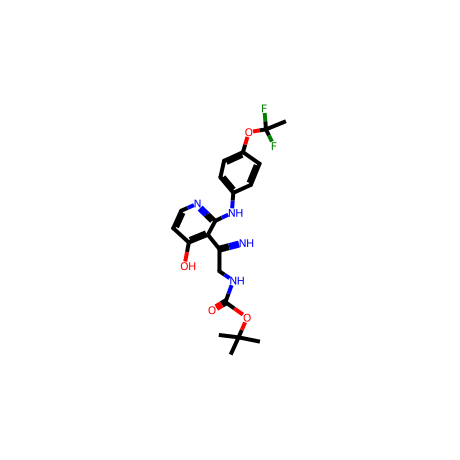 CC(C)(C)OC(=O)NCC(=N)c1c(O)ccnc1Nc1ccc(OC(C)(F)F)cc1